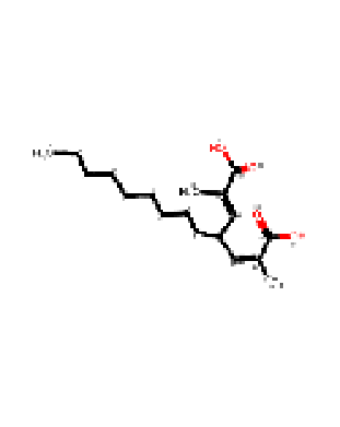 CCCCCCCCCC(C=C(C)C(=O)O)C=C(C)C(=O)O